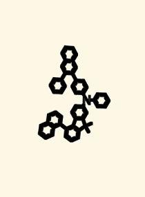 CC1(C)c2cc(N(c3ccccc3)c3ccc(-c4cc5ccccc5cc4-c4ccccc4)cc3)ccc2-c2c(-c3cccc4ccccc34)cccc21